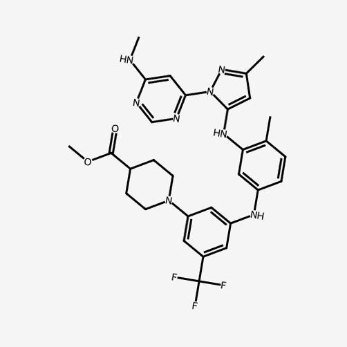 CNc1cc(-n2nc(C)cc2Nc2cc(Nc3cc(N4CCC(C(=O)OC)CC4)cc(C(F)(F)F)c3)ccc2C)ncn1